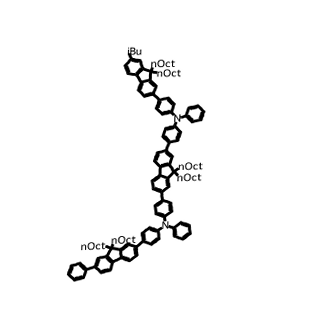 CCCCCCCCC1(CCCCCCCC)c2cc(-c3ccccc3)ccc2-c2ccc(-c3ccc(N(c4ccccc4)c4ccc(-c5ccc6c(c5)C(CCCCCCCC)(CCCCCCCC)c5cc(-c7ccc(N(c8ccccc8)c8ccc(-c9ccc%10c(c9)C(CCCCCCCC)(CCCCCCCC)c9cc(C(C)CC)ccc9-%10)cc8)cc7)ccc5-6)cc4)cc3)cc21